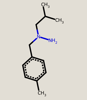 Cc1ccc(CN(N)CC(C)C)cc1